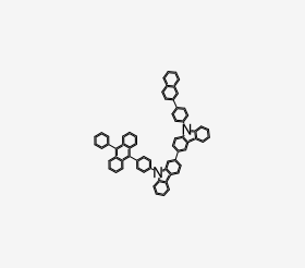 c1ccc(-c2c3ccccc3c(-c3ccc(-n4c5ccccc5c5ccc(-c6ccc7c(c6)c6ccccc6n7-c6ccc(-c7ccc8ccccc8c7)cc6)cc54)cc3)c3ccccc23)cc1